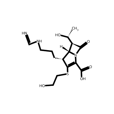 C[C@@H](O)[C@H]1C(=O)N2C(C(=O)O)=C(SCCO)[C@H](CCCNC=N)[C@H]12